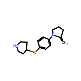 C=C1CCCN1c1ccc(SC2CCNCC2)cc1